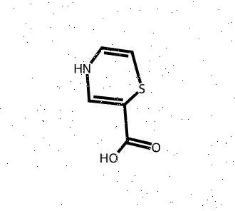 O=C(O)C1=CNC=CS1